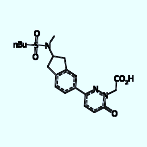 CCCCS(=O)(=O)N(C)C1Cc2ccc(-c3ccc(=O)n(CC(=O)O)n3)cc2C1